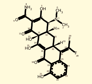 CN(C)[C@@H]1C(O)=C(C(N)=O)C(=O)[C@@]2(O)C(O)=C3C(=O)c4c(O)cccc4C(=C(F)F)[C@H]3C[C@@H]12